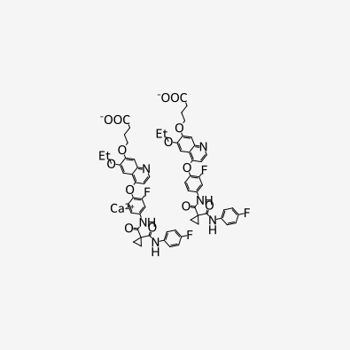 CCOc1cc2c(Oc3ccc(NC(=O)C4(C(=O)Nc5ccc(F)cc5)CC4)cc3F)ccnc2cc1OCCCC(=O)[O-].CCOc1cc2c(Oc3ccc(NC(=O)C4(C(=O)Nc5ccc(F)cc5)CC4)cc3F)ccnc2cc1OCCCC(=O)[O-].[Ca+2]